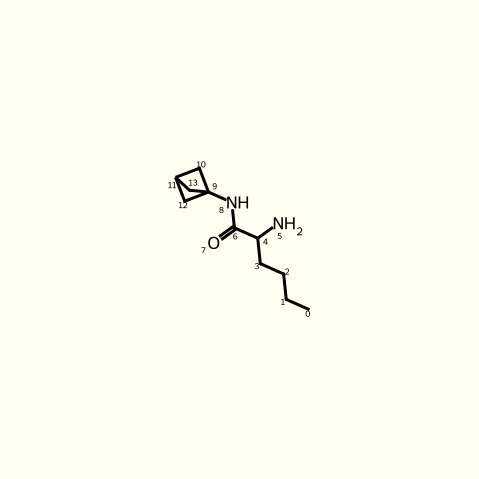 CCCCC(N)C(=O)NC12CC(C1)C2